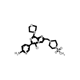 CS(=O)(=O)N1CCN(Cc2cn3c(Cl)c(-c4ccc(N)nc4)nc(N4CCOCC4)c3n2)CC1